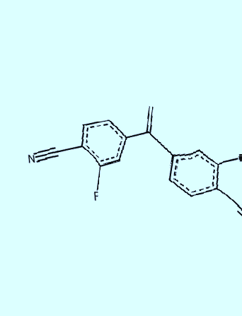 C=C(c1ccc(C#N)c(F)c1)c1ccc(C#N)c(F)c1